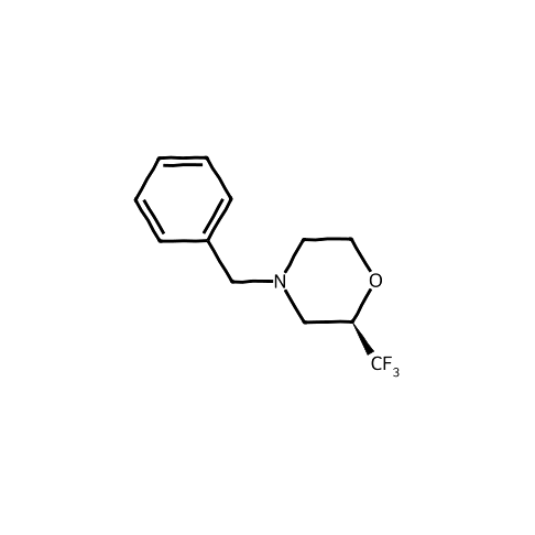 FC(F)(F)[C@H]1CN(Cc2ccccc2)CCO1